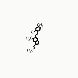 C=CCC1=CCc2cc(CCc3ccc(C)cc3Cl)c(C)cc21